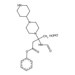 CC(CC(=O)Oc1ccccc1)(NC=O)N1CCN(C2CCNCC2)CC1.Cl.Cl